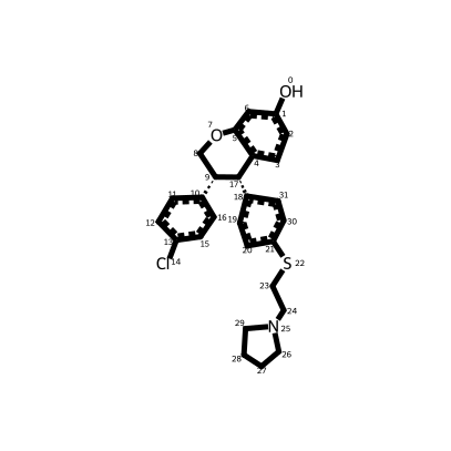 Oc1ccc2c(c1)OC[C@@H](c1ccc(Cl)cc1)[C@H]2c1ccc(SCCN2CCCC2)cc1